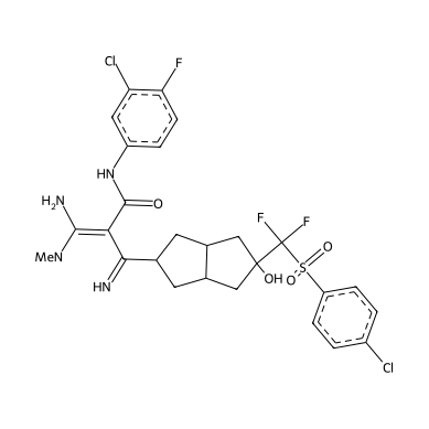 CN/C(N)=C(\C(=N)C1CC2CC(O)(C(F)(F)S(=O)(=O)c3ccc(Cl)cc3)CC2C1)C(=O)Nc1ccc(F)c(Cl)c1